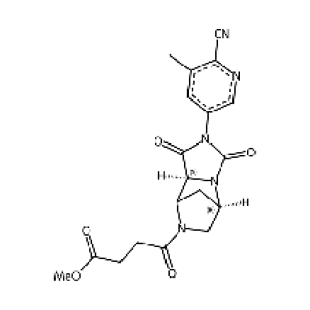 COC(=O)CCC(=O)N1C[C@H]2CC1[C@H]1C(=O)N(c3cnc(C#N)c(C)c3)C(=O)N21